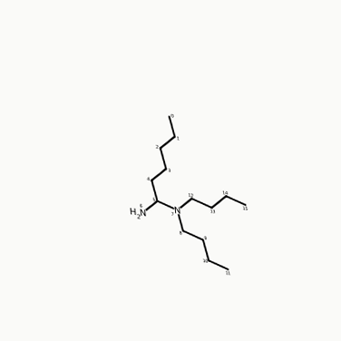 CCCCCC(N)N(CCCC)CCCC